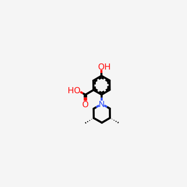 C[C@@H]1C[C@H](C)CN(c2ccc(O)cc2C(=O)O)C1